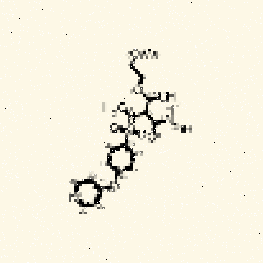 COCCOC(C)C(C(=O)NO)N(C)S(=O)(=O)c1ccc(Oc2ccncc2)cc1